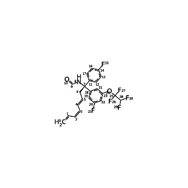 C=C/C=C\C=C\C[C@@](NC=O)(c1ccc(F)cc1)c1cc(F)cc(OC(F)(F)C(F)F)c1